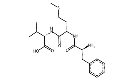 CSCC[C@H](NC(=O)[C@@H](N)Cc1ccccc1)C(=O)N[C@H](C(=O)O)C(C)C